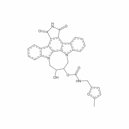 Cc1ccc(CNC(=O)OC2Cn3c4ccccc4c4c5c(c6c7ccccc7n(c6c43)CC2O)C(=O)NC5=O)o1